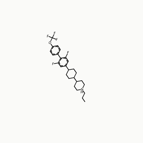 CCC[SiH]1CCC(C2CCC(c3cc(F)c(-c4ccc(OC(F)(F)F)cc4)c(F)c3)CC2)CC1